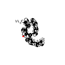 CCc1sc(-c2sc(-c3sc(-c4sc(-c5cc(-c6sc(-c7sc(-c8sc(-c9sc(C)c%10c9OCCO%10)c9c8OCCO9)c8c7OCCO8)c7c6OCCO7)cc(-c6sc(-c7sc(-c8sc(-c9sc(CC)c%10c9OCCO%10)c9c8OCCO9)c8c7OCCO8)c7c6OCCO7)c5)c5c4OCCO5)c4c3OCCO4)c3c2OCCO3)c2c1OCCO2